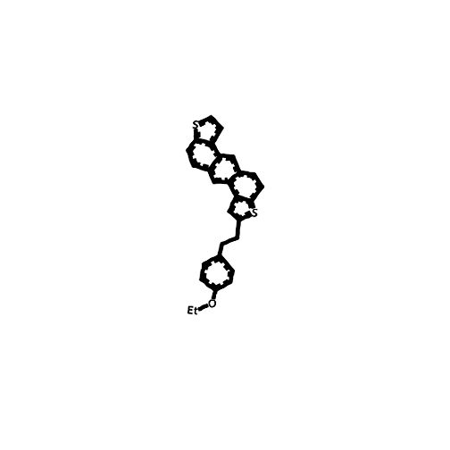 CCOc1ccc(CCc2cc3c(ccc4cc5c(ccc6sccc65)cc43)s2)cc1